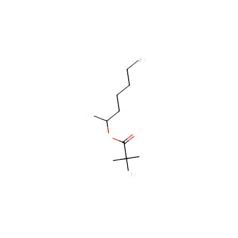 CCC(C)(C)C(=O)OC(CCCCC(C)C)C(C)C